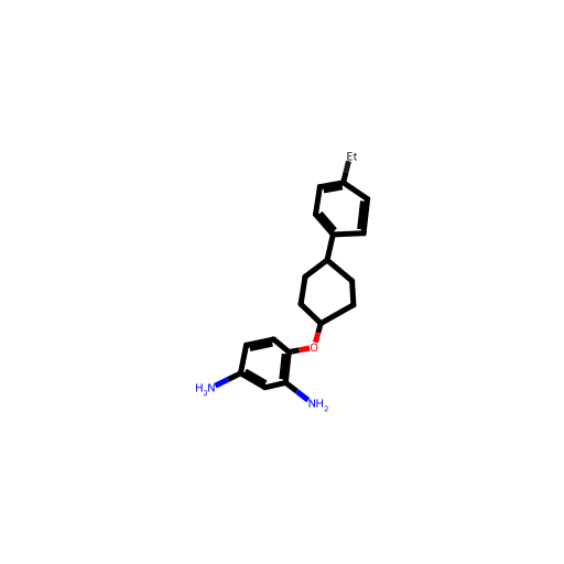 CCc1ccc(C2CCC(Oc3ccc(N)cc3N)CC2)cc1